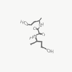 CC(CCO)NC(=O)C(=O)NC(C)CCO